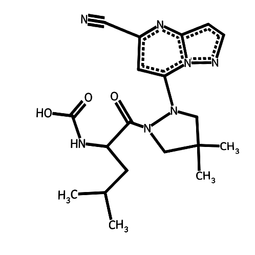 CC(C)CC(NC(=O)O)C(=O)N1CC(C)(C)CN1c1cc(C#N)nc2ccnn12